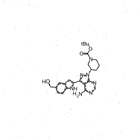 CC(C)(C)OC(=O)N1CCC[C@@H](n2nc(-c3cc4cc(CO)ccc4[nH]3)c3c(N)ncnc32)C1